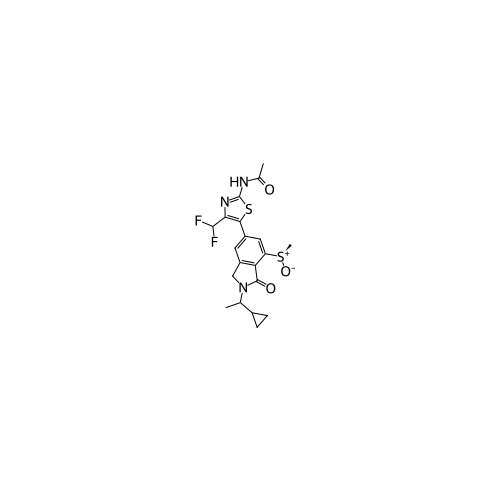 CC(=O)Nc1nc(C(F)F)c(-c2cc3c(c([S@@+](C)[O-])c2)C(=O)N(C(C)C2CC2)C3)s1